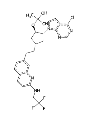 CC(C)(O)O[C@@H]1C[C@@H](CCc2ccc3ccc(NCC(F)(F)F)nc3c2)C[C@H]1n1ccc2c(Cl)ncnc21